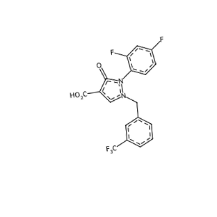 O=C(O)c1cn(Cc2cccc(C(F)(F)F)c2)n(-c2ccc(F)cc2F)c1=O